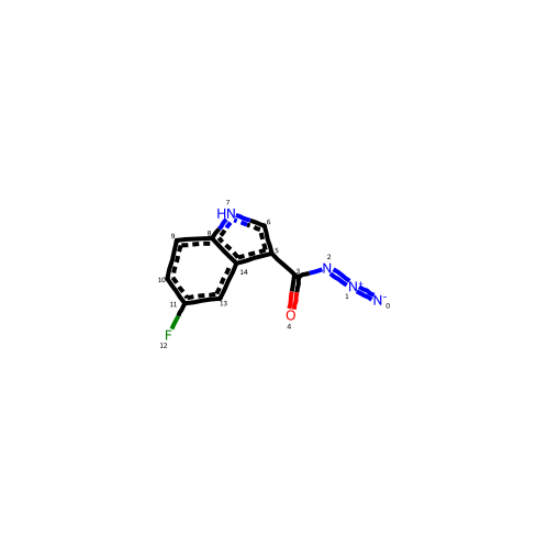 [N-]=[N+]=NC(=O)c1c[nH]c2ccc(F)cc12